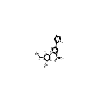 O=[N+]([O-])c1cc(-c2cccs2)cn1[C@H]1C[C@H](O)[C@@H](CO)O1